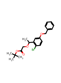 CC(OCC(=O)OC(C)(C)C)c1cc(OCc2ccccc2)ccc1Br